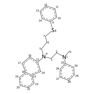 CN(CCN(CCCSc1ccccc1)c1ccc2ccccc2c1)c1ccccc1